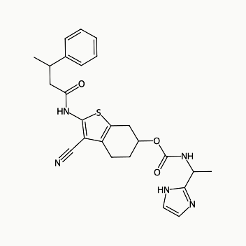 CC(CC(=O)Nc1sc2c(c1C#N)CCC(OC(=O)NC(C)c1ncc[nH]1)C2)c1ccccc1